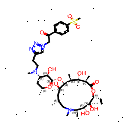 CC[C@H]1OC(=O)[C@H](C)[C@@H](O)[C@H](C)[C@@H](O[C@@H]2O[C@H](C)C[C@H](N(C)CCc3cn(CC(=O)c4ccc(S(C)(=O)=O)cc4)nn3)[C@H]2O)[C@](C)(O)C[C@@H](C)CN(C)[C@H](C)[C@@H](O)[C@]1(C)O